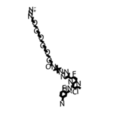 Cc1nc2cc(F)c(-c3cnc(N4CC5(CN(C(=O)COCCOCCOCCOCCOCCOCCN=[N+]=[N-])C5)C4)nc3)nc2c(N[C@H](C)c2cc(C#N)ccc2F)c1Cl